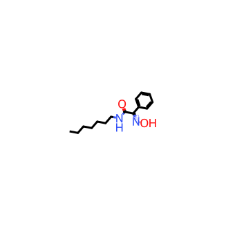 CCCCCCCNC(=O)/C(=N/O)c1ccccc1